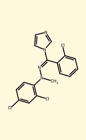 CN(/N=C(\c1ccccc1Cl)n1ccnc1)c1ccc(Cl)cc1Cl